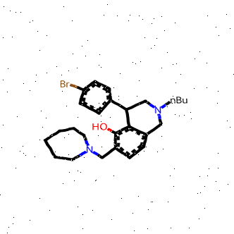 CCCCN1Cc2ccc(CN3CCCCCC3)c(O)c2C(c2ccc(Br)cc2)C1